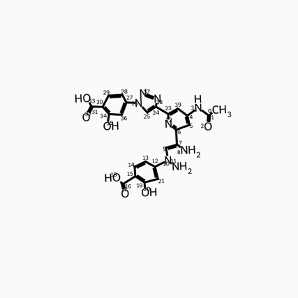 CC(=O)Nc1cc(/C(N)=C/N(N)c2ccc(C(=O)O)c(O)c2)nc(-c2cn(-c3ccc(C(=O)O)c(O)c3)nn2)c1